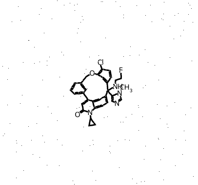 Cn1cncc1C1(NCCF)c2ccc(Cl)c(c2)OCc2cccc(c2)-c2cc(=O)n(C3CC3)c3ccc1cc23